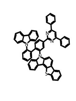 c1ccc(-c2cc(-c3ccccc3)nc(-c3ccc(-c4ccccc4-n4c5ccccc5c5ccccc54)c(-n4c5ccccc5c5c6sc7ccccc7c6ccc54)c3)n2)cc1